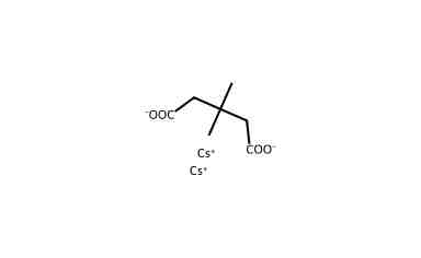 CC(C)(CC(=O)[O-])CC(=O)[O-].[Cs+].[Cs+]